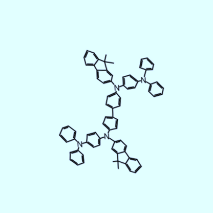 CC1(C)c2ccccc2-c2ccc(N(c3ccc(-c4ccc(N(c5ccc(N(c6ccccc6)c6ccccc6)cc5)c5ccc6c(c5)C(C)(C)c5ccccc5-6)cc4)cc3)c3ccc(N(c4ccccc4)c4ccccc4)cc3)cc21